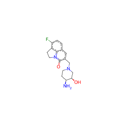 N[C@H]1CCN(Cc2cc3ccc(F)c4c3n(c2=O)CC4)C[C@H]1O